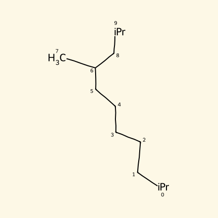 CC(C)CCCCCC(C)CC(C)C